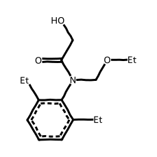 CCOCN(C(=O)CO)c1c(CC)cccc1CC